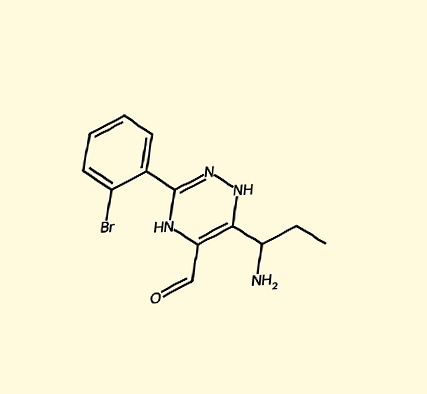 CCC(N)C1=C(C=O)NC(c2ccccc2Br)=NN1